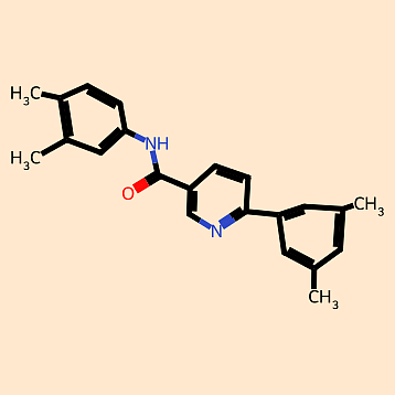 Cc1cc(C)cc(-c2ccc(C(=O)Nc3ccc(C)c(C)c3)cn2)c1